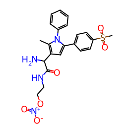 Cc1c(C(N)C(=O)NCCO[N+](=O)[O-])cc(-c2ccc(S(C)(=O)=O)cc2)n1-c1ccccc1